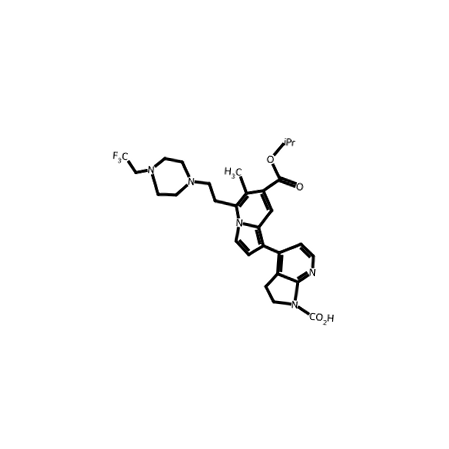 Cc1c(C(=O)OC(C)C)cc2c(-c3ccnc4c3CCN4C(=O)O)ccn2c1CCN1CCN(CC(F)(F)F)CC1